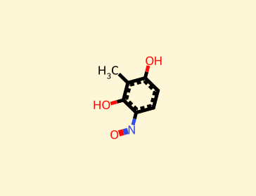 Cc1c(O)ccc(N=O)c1O